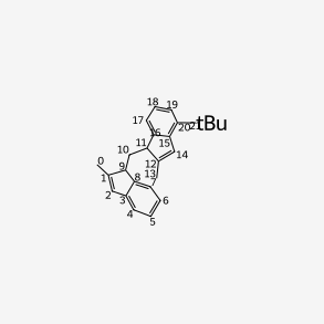 CC1=Cc2ccccc2C1CC1C(C)=Cc2c1cccc2C(C)(C)C